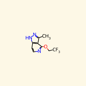 Cc1n[nH]c2ccnc(OCC(F)(F)F)c12